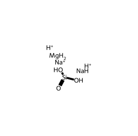 O=[Si](O)O.[H+].[H+].[MgH2].[Na+].[NaH]